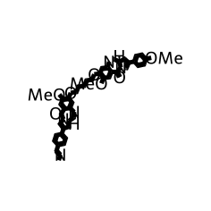 C/N=C/c1ccc(C2=CN3C(=O)c4cc(OC)c(OCCCCCOc5cc6c(cc5OC)C(=O)N5C=C(c7ccc(OC)cc7)C[C@H]5C=N6)cc4N=C[C@@H]3C2)cc1